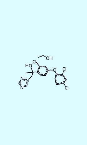 CC(O)(Cn1cncn1)c1ccc(Oc2ccc(Cl)cc2Cl)cc1Cl.CCO